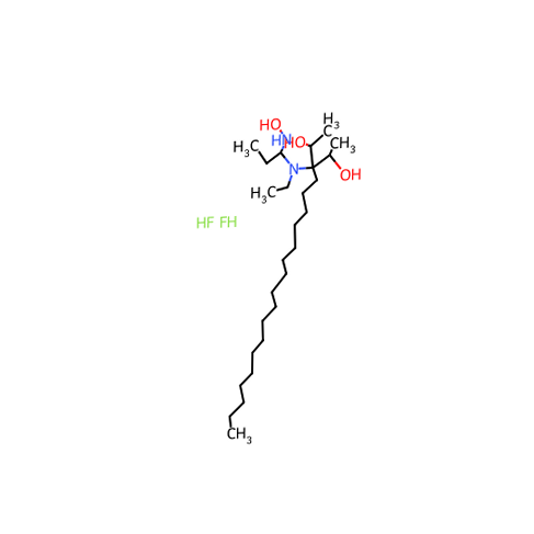 CCCCCCCCCCCCCCCCCC(C(C)O)(C(C)O)N(CC)C(CC)NO.F.F